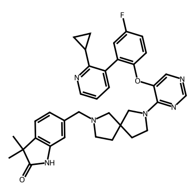 CC1(C)C(=O)Nc2cc(CN3CCC4(CCN(c5ncncc5Oc5ccc(F)cc5-c5cccnc5C5CC5)C4)C3)ccc21